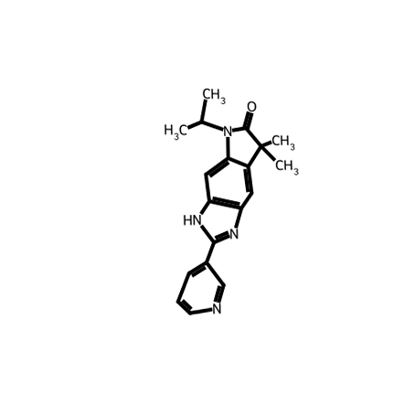 CC(C)N1C(=O)C(C)(C)c2cc3nc(-c4cccnc4)[nH]c3cc21